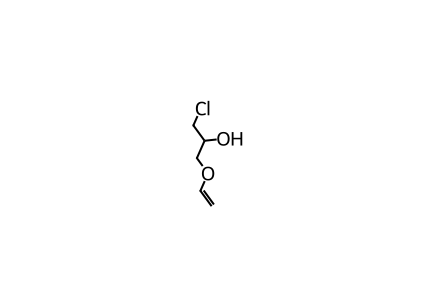 C=COCC(O)CCl